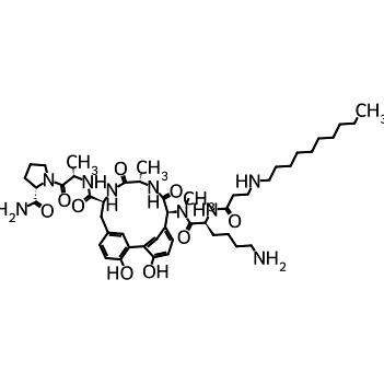 CCCCCCCCCCNCCC(=O)N[C@@H](CCCCN)C(=O)N(C)[C@@H]1C(=O)N[C@@H](C)C(=O)N[C@H](C(=O)N[C@@H](C)C(=O)N2CCC[C@H]2C(N)=O)Cc2ccc(O)c(c2)-c2cc1ccc2O